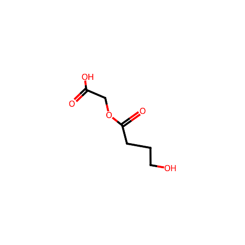 O=C(O)COC(=O)CCCO